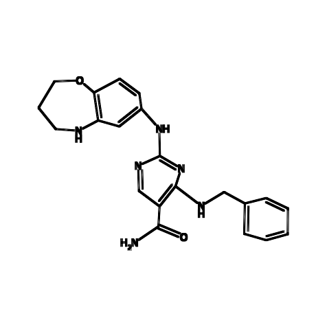 NC(=O)c1cnc(Nc2ccc3c(c2)NCCCO3)nc1NCc1ccccc1